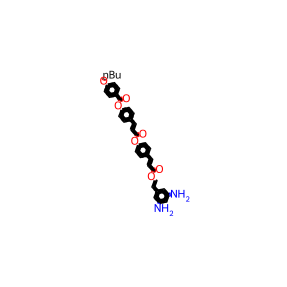 CCCCOc1ccc(C(=O)Oc2ccc(/C=C/C(=O)Oc3ccc(/C=C/C(=O)OCCc4cc(N)cc(N)c4)cc3)cc2)cc1